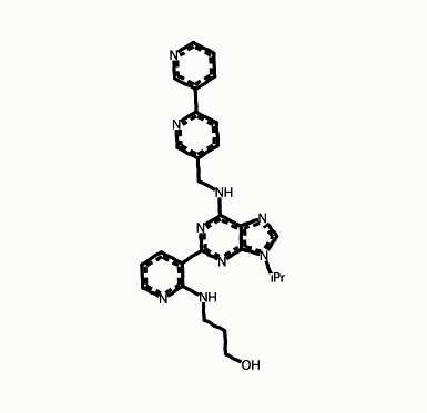 CC(C)n1cnc2c(NCc3ccc(-c4cccnc4)nc3)nc(-c3cccnc3NCCCO)nc21